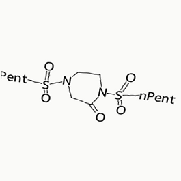 CCCCCS(=O)(=O)N1CCN(S(=O)(=O)CCCCC)C(=O)C1